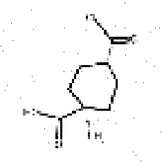 C[C@]1(C(=O)O)CC[C@H](C(=O)Cl)CC1